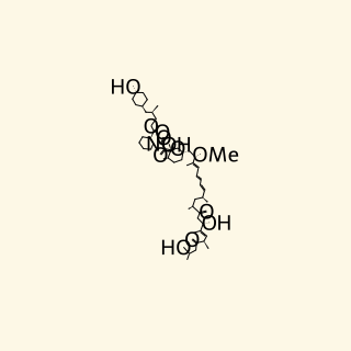 CO[C@@H](C[C@@H]1CC[C@@H](C)[C@](O)(C(=O)C(=O)N2CCCC[C@H]2C(=O)OC[C@H](C)C[C@H]2CC[C@H](O)CC2)O1)/C(C)=C/C=C/C=C/[C@@H](C)C[C@H](C)C(=O)C[C@H](O)/C(C)=C/[C@@H](C)C(=O)CC(C)O